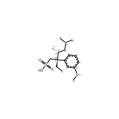 CC[C@](CS(=O)(=O)O)(c1cccc(OC)c1)[C@H](C)CN(C)C